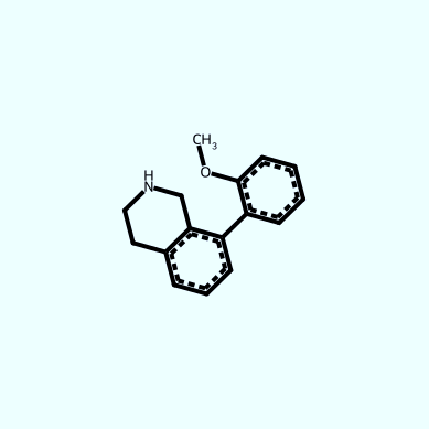 COc1ccccc1-c1cccc2c1CNCC2